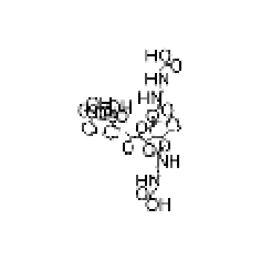 CC(=O)c1cc2c(OC(=O)NCCNCC(=O)O)c3ccccc3c(OC(=O)NCCNCC(=O)O)c2o1.O=S(=O)(O)c1ccccc1.O=S(=O)(O)c1ccccc1